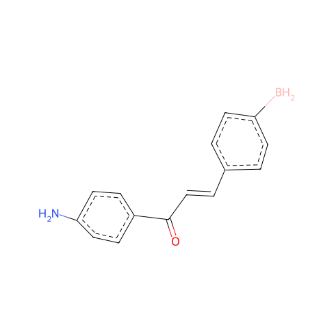 Bc1ccc(/C=C/C(=O)c2ccc(N)cc2)cc1